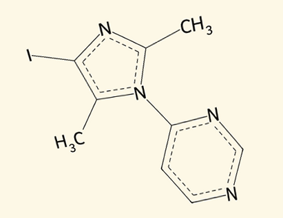 Cc1nc(I)c(C)n1-c1ccncn1